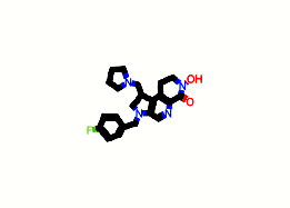 O=C1c2ncc3c(c2CCN1O)C(CN1CCCC1)CN3Cc1ccc(F)cc1